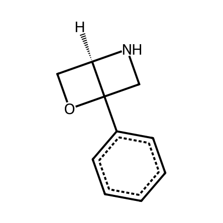 c1ccc(C23CN[C@@H]2CO3)cc1